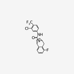 O=C(Nc1ccc(C(F)(F)F)c(Cl)c1)N1C2CCC1c1cccc(F)c1C2